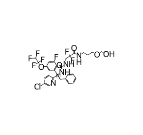 O=C(NCC(F)(F)C(=O)NCCCOCO)N[C@@](Cc1ccccc1)(c1cc(F)cc(OC(F)(F)C(F)F)c1)c1ccc(Cl)cn1